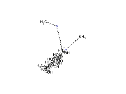 CCCCCCCC/C=C\CCCCCCCCCCCCCCCC(=O)N[C@@H](CO[C@@H]1OC(CO)[C@@H](O[C@@H]2OC(CO)[C@H](O[C@@H]3OC(CO)[C@H](O)[C@H](O[C@@H]4OC(CO)[C@@H](O)[C@H](O)C4NC(C)=O)C3O)[C@H](O)C2O)[C@H](O)C1O)[C@H](O)/C=C/CCCCCCCCCCCCC